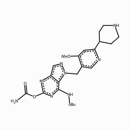 CCCCNc1nc(OC(N)=O)nc2cnn(Cc3cnc(C4CCNCC4)cc3OC)c12